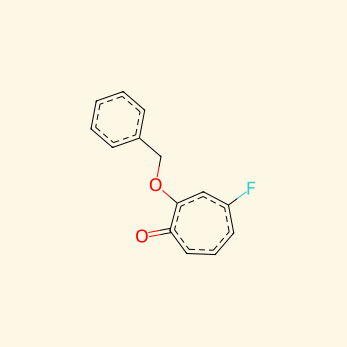 O=c1cccc(F)cc1OCc1ccccc1